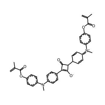 C=C(C)C(=O)Oc1ccc(N(C)c2ccc(C3=C([O-])C(C4C=CC(=[N+](C)c5ccc(OC(=O)C(=C)C)cc5)C=C4)C3=O)cc2)cc1